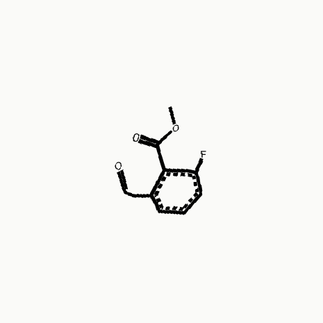 COC(=O)c1c(F)cccc1C=O